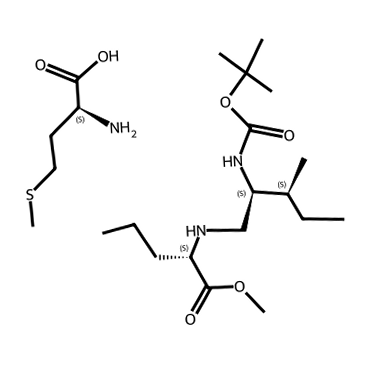 CCC[C@H](NC[C@@H](NC(=O)OC(C)(C)C)[C@@H](C)CC)C(=O)OC.CSCC[C@H](N)C(=O)O